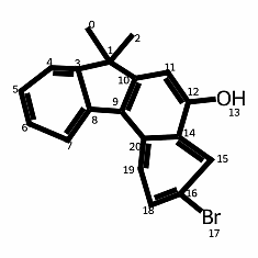 CC1(C)c2ccccc2-c2c1cc(O)c1cc(Br)ccc21